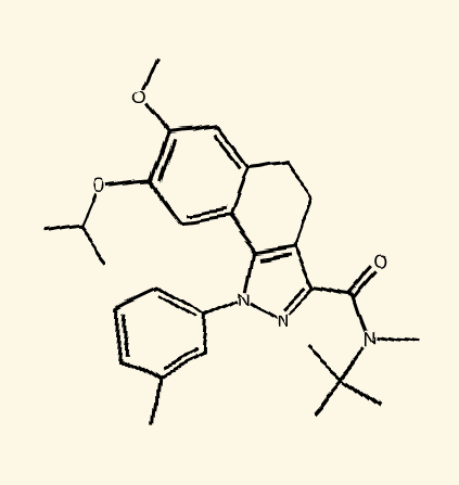 COc1cc2c(cc1OC(C)C)-c1c(c(C(=O)N(C)C(C)(C)C)nn1-c1cccc(C)c1)CC2